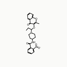 CCC(Oc1c(C)oc2ccccc2c1=O)N1CCC(NC(=O)c2ccccc2[N+](=O)[O-])CC1